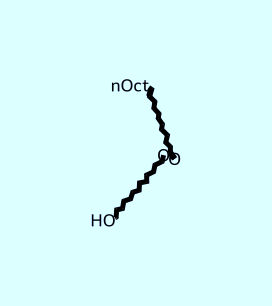 CCCCCCCCC=CCCCCCCCCCC(=O)OCCCCCCCCCCCCCO